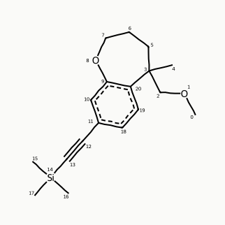 COCC1(C)CCCOc2cc(C#C[Si](C)(C)C)ccc21